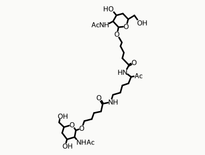 CC(=O)NC1C(O)CC(CO)OC1OCCCCC(=O)NCCCCC(NC(=O)CCCCOC1OC(CO)CC(O)C1NC(C)=O)C(C)=O